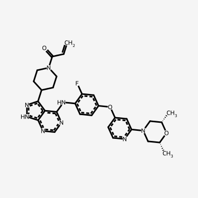 C=CC(=O)N1CCC(c2n[nH]c3ncnc(Nc4ccc(Oc5ccnc(N6C[C@@H](C)O[C@@H](C)C6)c5)cc4F)c23)CC1